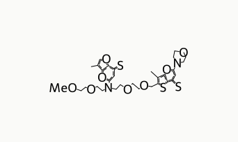 COCCOCCN(CCOCCOCc1sc2c(=S)cc(N3CCOCC3)oc2c1C)c1cc(=S)c2occ(C)c2o1